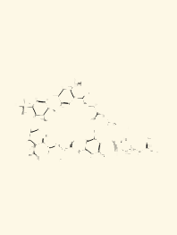 C/C(=N\NC(=O)Nc1cc(F)cc(F)c1)c1ncccc1C(=O)O.CCOC(=O)COC(=O)c1cc(Oc2ccc(C(F)(F)F)cc2Cl)ccc1[N+](=O)[O-].O=C(O)CNCP(=O)(O)O